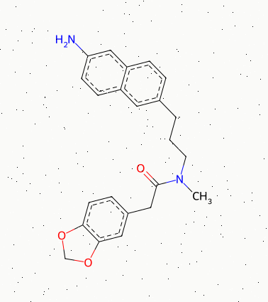 CN(CC[CH]c1ccc2cc(N)ccc2c1)C(=O)Cc1ccc2c(c1)OCO2